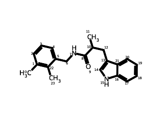 Cc1cccc(CNC(=O)C(C)Cc2c[nH]c3ccccc23)c1C